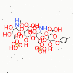 CC(=O)NC1C(O[C@@H]2C(C(=O)O)O[C@@H](O[C@@H]3C(COS(=O)(=O)O)O[C@@H](O[C@@H]4C(C(=O)O)O[C@@H](Oc5ccc(C)cc5)C(O)[C@H]4O)C(NC(C)=O)[C@H]3O)C(O)[C@H]2O)OC(COS(=O)(=O)O)[C@@H](O)[C@@H]1O